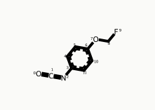 O=C=Nc1ccc(OCF)cc1